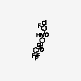 O=C(NC1CCC(CS(=O)(=O)c2cccc(C(F)(F)F)c2)CC1)c1ccc(Cl)c(F)c1